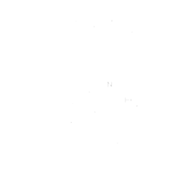 CC1(C)CCCCC=C1CNc1cccc(F)c1.Cl